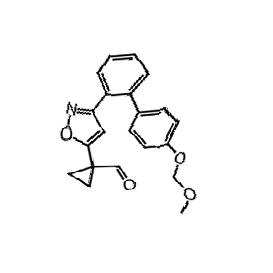 COCOc1ccc(-c2ccccc2-c2cc(C3(C=O)CC3)on2)cc1